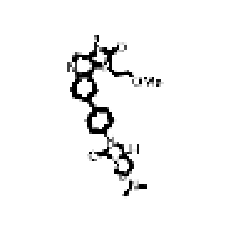 COCCn1c(=O)n(C)c2cnc3ccc(-c4ccc(N5C[C@@H]6C[C@H](N(C)C)CN6C5=O)cc4)cc3c21